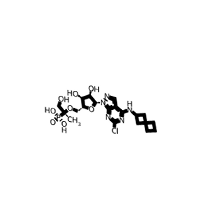 C[C@](CO)(OC[C@H]1O[C@@H](n2ncc3c(NC4CC5(CCC5)C4)nc(Cl)nc32)[C@H](O)[C@@H]1O)P(=O)(O)O